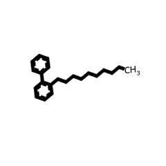 CCCCCCCCCCc1ccccc1-c1ccccc1